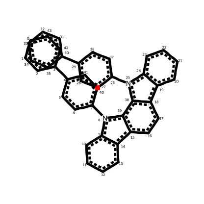 c1ccc(-c2ccc(-n3c4ccccc4c4ccc5c6ccccc6n(-c6ccc(-c7ccccc7)cc6)c5c43)cc2)cc1